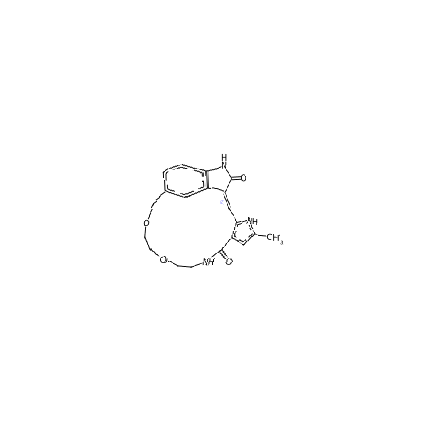 Cc1cc2c([nH]1)/C=C1\C(=O)Nc3ccc(cc31)COCCOCCNC2=O